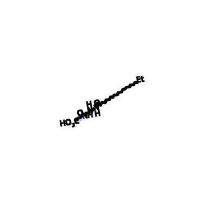 CCC=CCC=CCC=CCC=CCC=CCC=CCCC(=O)NCCNCCNC(=O)/C=C/C(=O)O